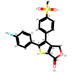 CS(=O)(=O)c1ccc(-c2c(-c3ccc(F)cc3)sc3c2COC3=O)cc1